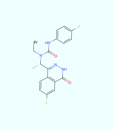 CC(C)CN(C(=O)Nc1ccc(F)cc1)[C@@H](C)c1n[nH]c(=O)c2cc(F)ccc12